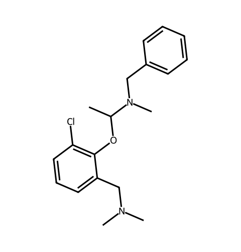 CC(Oc1c(Cl)cccc1CN(C)C)N(C)Cc1ccccc1